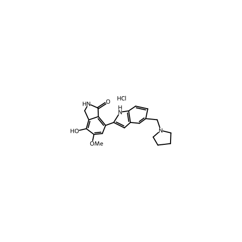 COc1cc(-c2cc3cc(CN4CCCC4)ccc3[nH]2)c2c(c1O)CNC2=O.Cl